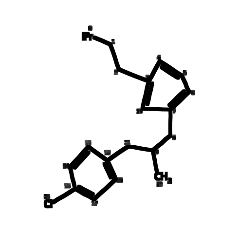 CC(C)CCc1cccc(CC(C)Cc2ccc(Cl)cc2)c1